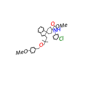 COC(=O)C1(Nc2cccc(Cl)c2)CCC2(CC1)C(CC(C)(C)COCc1ccc(OC)cc1)=Cc1ccccc12